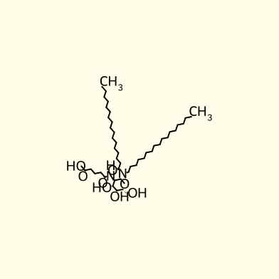 CCCCCCCCCCCCCCCCCCN(C(=O)CCCCCCCCCCCCCCCCC)[C@@H]1O[C@H](CO)[C@@H](O)[C@H](O)[C@H]1NC(=O)CCCC(=O)O